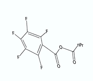 CCCC(=O)OC(=O)c1c(F)c(F)c(F)c(F)c1F